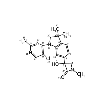 CN1CC(O)(c2ccc3c(c2)N(c2nc(N)ncc2Cl)CC3(C)C)C1=O